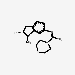 CC(=Nc1ccc2c(c1)[C@@H](N)[C@H](O)C2)N1CCOCC1